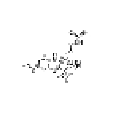 NC(=O)NCCC[C@@H](C=O)N(Nc1ccc(CO)cc1)C(=O)C1(C(=O)O)CCC1